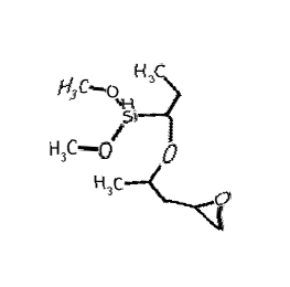 CCC(OC(C)CC1CO1)[SiH](OC)OC